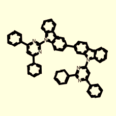 C1=CCCC(c2nc(-c3ccccc3)cc(-n3c4ccccc4c4ccc(-c5ccc6c(c5)c5ccccc5n6-c5nc(-c6ccccc6)cc(-c6ccccc6)n5)cc43)n2)=C1